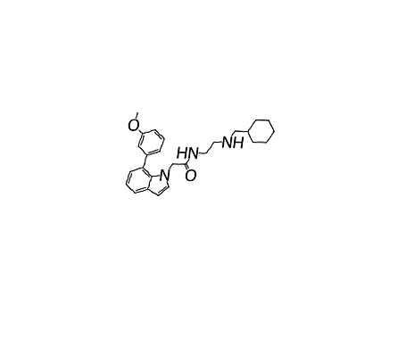 COc1cccc(-c2cccc3ccn(CC(=O)NCCNCC4CCCCC4)c23)c1